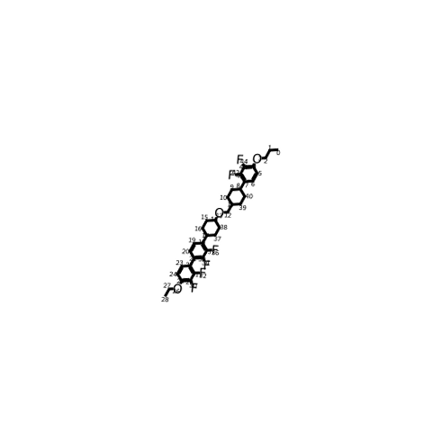 CCCOc1ccc(C2CCC(COC3CCC(c4ccc(-c5ccc(OCC)c(F)c5F)c(F)c4F)CC3)CC2)c(F)c1F